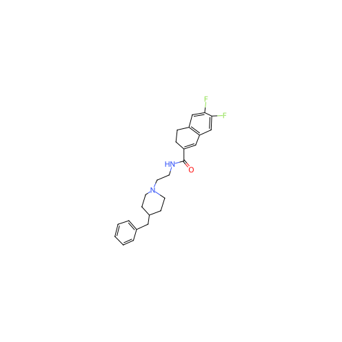 O=C(NCCN1CCC(Cc2ccccc2)CC1)C1=Cc2cc(F)c(F)cc2CC1